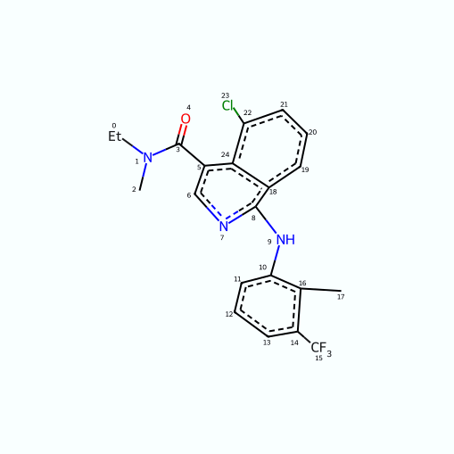 CCN(C)C(=O)c1cnc(Nc2cccc(C(F)(F)F)c2C)c2cccc(Cl)c12